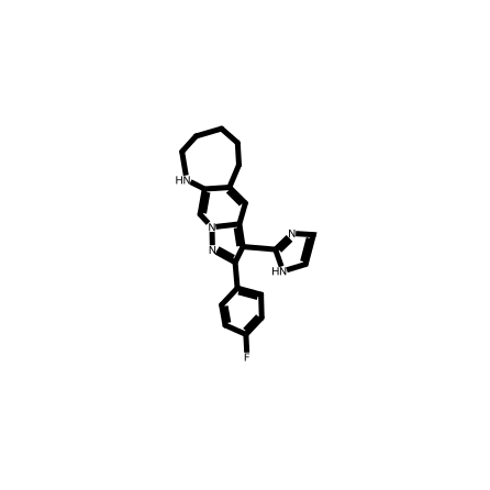 Fc1ccc(-c2nn3cc4c(cc3c2-c2ncc[nH]2)CCCCCN4)cc1